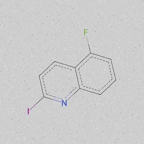 Fc1cccc2nc(I)ccc12